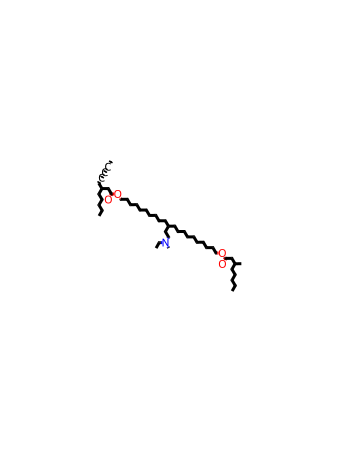 C=C=C=C=CC(CCCCC)CC(=O)OCCCCCCCCCCC(CCCCCCCCCCOC(=O)CC(C)CCCCC)CCN(C)CC